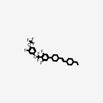 CCC1CCC(/C=C/C2CCC(c3cc(F)c(C(F)(F)Oc4ccc(OC(F)(F)F)c(F)c4)c(F)c3)CC2)CC1